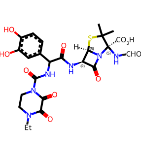 CCN1CCN(C(=O)NC(C(=O)N[C@@H]2C(=O)N3[C@@H]2SC(C)(C)[C@]3(NC=O)C(=O)O)c2ccc(O)c(O)c2)C(=O)C1=O